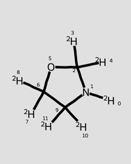 [2H]N1C([2H])([2H])OC([2H])([2H])C1([2H])[2H]